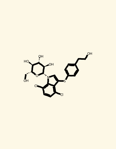 OCCc1ccc(Sc2cn([C@@H]3O[C@H](CO)[C@@H](O)[C@H](O)[C@H]3O)c3c(Cl)ccc(Cl)c23)cc1